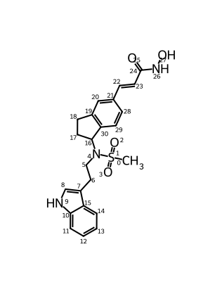 CS(=O)(=O)N(CCc1c[nH]c2ccccc12)C1CCc2cc(C=CC(=O)NO)ccc21